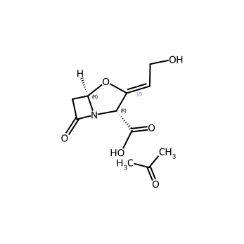 CC(C)=O.O=C(O)[C@H]1/C(=C/CO)O[C@@H]2CC(=O)N21